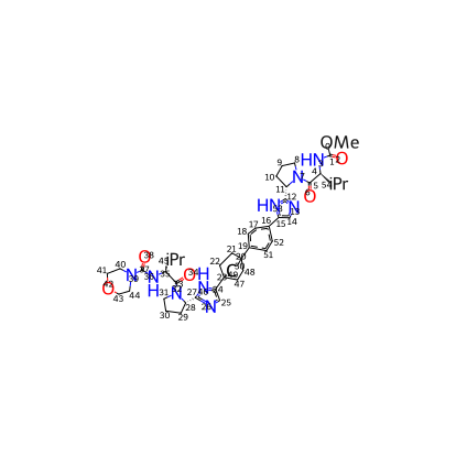 COC(=O)N[C@H](C(=O)N1CCC[C@H]1c1ncc(-c2ccc(C34CCC(c5cnc([C@@H]6CCCN6C(=O)[C@@H](NC(=O)N6CCOCC6)C(C)C)[nH]5)(CC3)CC4)cc2)[nH]1)C(C)C